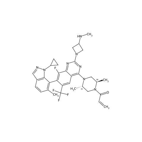 C=CC(=O)N1C[C@H](C)N(c2nc(N3CC(NC)C3)nc3c(F)c(-c4c(C)ccc5cnn(C6CC6)c45)c(C(F)(F)F)cc23)C[C@H]1C